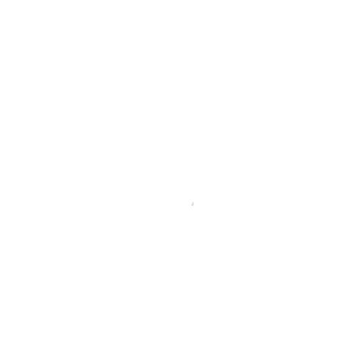 ClNC1Cc2ccccc2C1